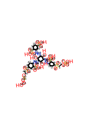 O=S(=O)(O)OCCS(=O)(=O)c1ccc(/N=N/c2c(O)c(/N=N/c3cc(S(=O)(=O)O)ccc3S(=O)(=O)O)c(O)c(/N=N/c3ccc(S(=O)(=O)CCOSOOO)cc3S(=O)(=O)O)c2O)c(S(=O)(=O)O)c1